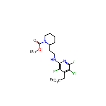 CCOC(=O)Cc1c(F)c(NCCC2CCCCN2C(=O)OC(C)(C)C)nc(F)c1Cl